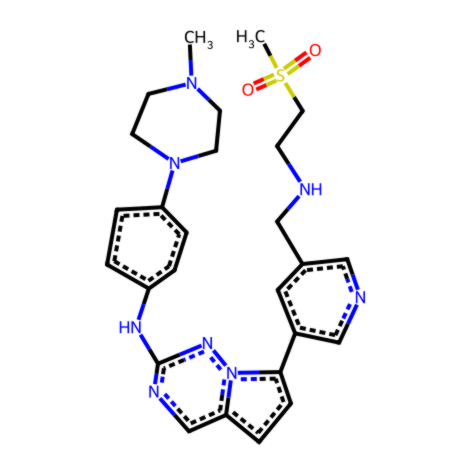 CN1CCN(c2ccc(Nc3ncc4ccc(-c5cncc(CNCCS(C)(=O)=O)c5)n4n3)cc2)CC1